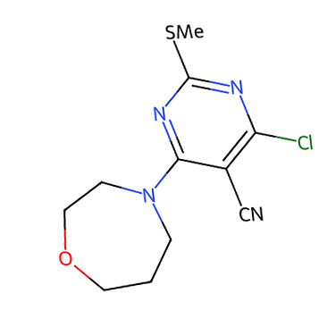 CSc1nc(Cl)c(C#N)c(N2CCCOCC2)n1